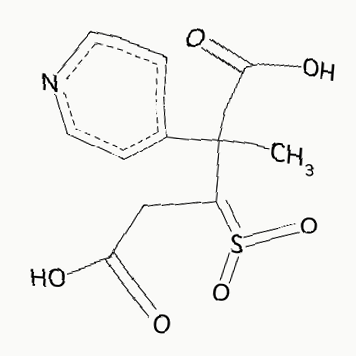 CC(C(=O)O)(C(CC(=O)O)=S(=O)=O)c1ccncc1